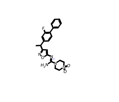 CC(c1ccc(-c2ccccc2)c(F)c1)c1cc(/N=C(\N)N2CCS(=O)(=O)CC2)on1